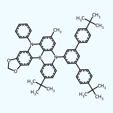 Cc1cc2c3c(c1)N(c1ccccc1)c1cc4c(cc1B3c1cc(C(C)(C)C)ccc1N2c1cc(-c2ccc(C(C)(C)C)cc2)cc(-c2ccc(C(C)(C)C)cc2)c1)OCO4